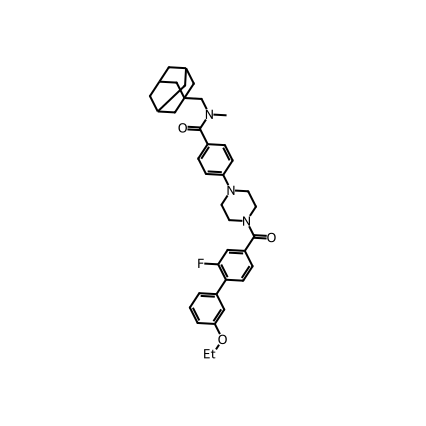 CCOc1cccc(-c2ccc(C(=O)N3CCN(c4ccc(C(=O)N(C)CC56CC7CC(CC(C7)C5)C6)cc4)CC3)cc2F)c1